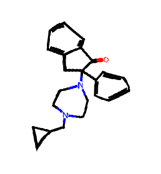 O=C1c2ccccc2CC1(c1ccccc1)N1CCN(CC2CC2)CC1